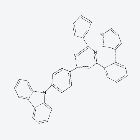 c1ccc(-c2nc(-c3ccc(-n4c5ccccc5c5ccccc54)cc3)cc(-c3ccccc3-c3cccnc3)n2)cc1